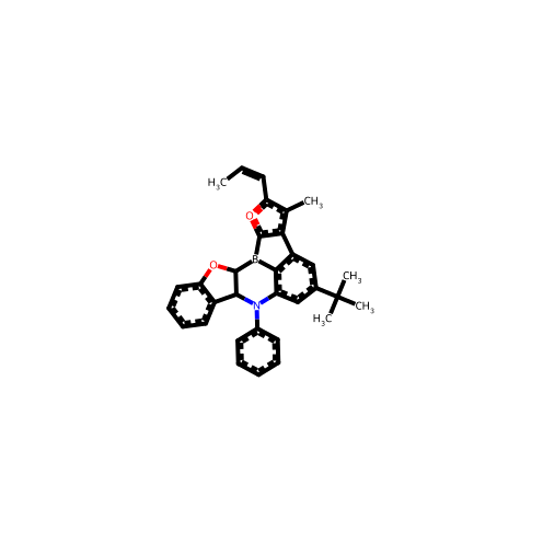 C/C=C\c1oc2c(c1C)-c1cc(C(C)(C)C)cc3c1B2C1Oc2ccccc2C1N3c1ccccc1